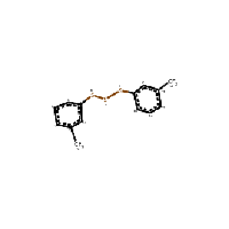 FC(F)(F)c1cccc(SSSc2cccc(C(F)(F)F)c2)c1